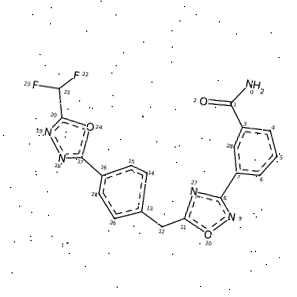 NC(=O)c1cccc(-c2noc(Cc3ccc(-c4nnc(C(F)F)o4)cc3)n2)c1